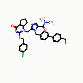 CN(C)C(=O)c1cnc(Cn2c(SCc3ccc(F)cc3)nc(=O)c3c2CCC3)n1Cc1ccc(-c2ccc(CF)cc2)cc1